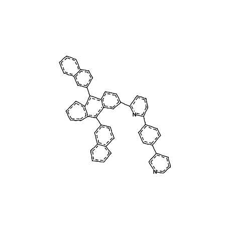 c1cncc(-c2ccc(-c3cccc(-c4ccc5c(-c6ccc7ccccc7c6)c6ccccc6c(-c6ccc7ccccc7c6)c5c4)n3)cc2)c1